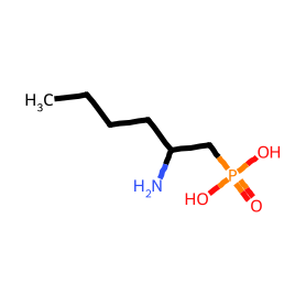 CCCCC(N)CP(=O)(O)O